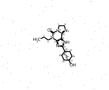 CCCN1C(=O)N2CCN=C2c2[nH]c(C34CCC(O)(CC3)CC4)nc21